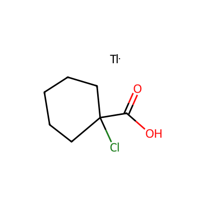 O=C(O)C1(Cl)CCCCC1.[Tl]